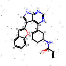 C=CC(=O)NC1CCC=C(c2ncnc3[nH]cc(-c4cc5ccccc5o4)c23)C1